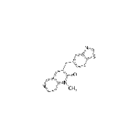 Cn1c(=O)c(Cc2ccc3scnc3c2)cc2cnccc21